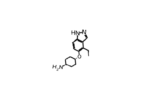 CCc1c(O[C@H]2CC[C@H](N)CC2)ccc2[nH]ncc12